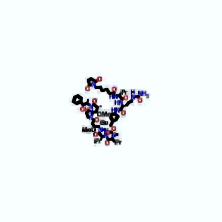 CC[C@H](C)[C@@H]([C@@H](CC(=O)N1CCC[C@H]1[C@H](OC)[C@@H](C)C(=O)N[C@H](C)[C@@H](O)c1ccccc1)OC)N(C)C(=O)[C@@H](NC(=O)C(C(C)C)N(C)C(=O)OCc1ccc(NC(=O)[C@H](CCCNC(N)=O)NC(=O)[C@@H](NC(=O)CCCCCN2C(=O)C=CC2=O)C(C)C)cc1)C(C)C